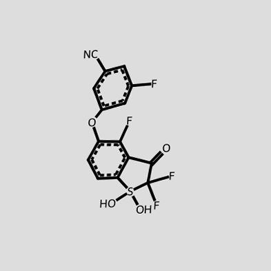 N#Cc1cc(F)cc(Oc2ccc3c(c2F)C(=O)C(F)(F)S3(O)O)c1